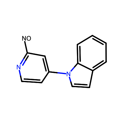 O=Nc1cc(-n2ccc3ccccc32)ccn1